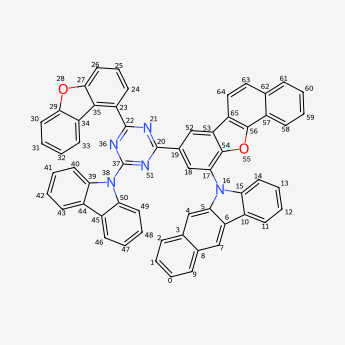 c1ccc2cc3c(cc2c1)c1ccccc1n3-c1cc(-c2nc(-c3cccc4oc5ccccc5c34)nc(-n3c4ccccc4c4ccccc43)n2)cc2c1oc1c3ccccc3ccc21